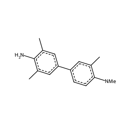 CNc1ccc(-c2cc(C)c(N)c(C)c2)cc1C